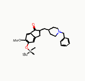 COc1cc2c(cc1O[Si](C)(C)C(C)(C)C)CC(CC1CCN(Cc3ccccc3)CC1)C2=O